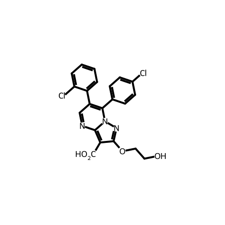 O=C(O)c1c(OCCO)nn2c(-c3ccc(Cl)cc3)c(-c3ccccc3Cl)cnc12